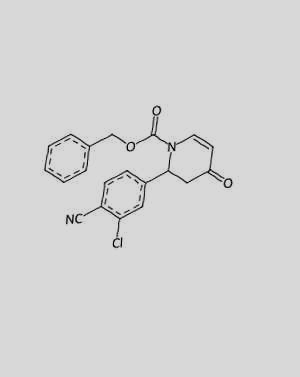 N#Cc1ccc(C2CC(=O)C=CN2C(=O)OCc2ccccc2)cc1Cl